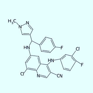 Cn1cc(C(Nc2cc(Cl)c3ncc(C#N)c(Nc4ccc(F)c(Cl)c4)c3c2)c2ccc(F)cc2)cn1